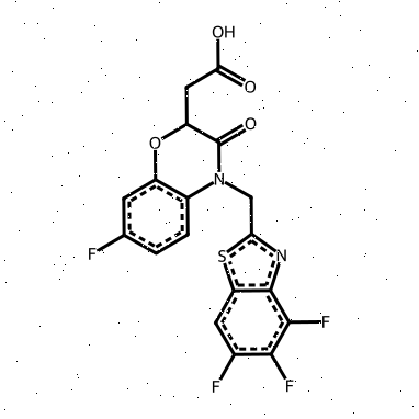 O=C(O)CC1Oc2cc(F)ccc2N(Cc2nc3c(F)c(F)c(F)cc3s2)C1=O